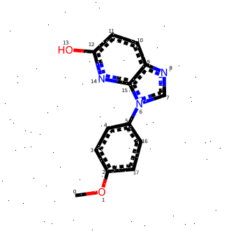 COc1ccc(-n2cnc3ccc(O)nc32)cc1